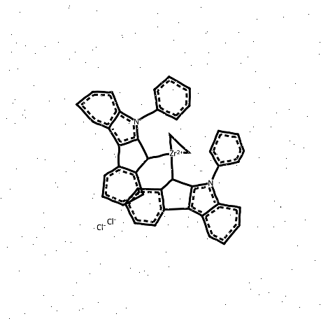 [Cl-].[Cl-].c1ccc(-n2c3c(c4ccccc42)-c2ccccc2[CH]3[Zr+2]2([CH]3c4ccccc4-c4c3n(-c3ccccc3)c3ccccc43)[CH2][CH2]2)cc1